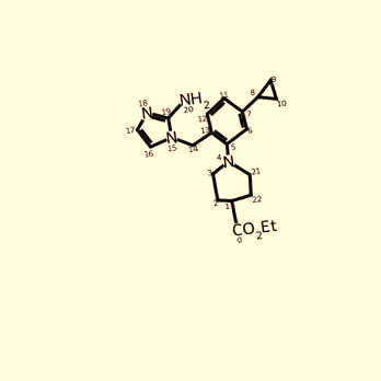 CCOC(=O)C1CCN(c2cc(C3CC3)ccc2Cn2ccnc2N)CC1